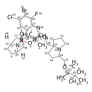 CC(C)(C)OC(=O)N1[C@@H]2CC[C@H]1CN(c1nc(OCC34CCCN3C(CO[Si](C)(C)C(C)(C)C)CC4)nc3c(F)c(Br)c(Cl)cc13)C2